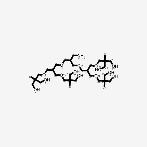 CC(CO)(CO)COCC(COCC(CN)COCC(COCC(C)(CO)CO)COCC(C)(CO)CO)COCC(C)(CO)CO